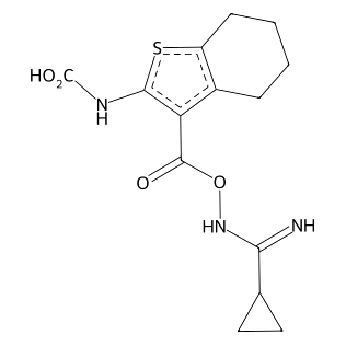 N=C(NOC(=O)c1c(NC(=O)O)sc2c1CCCC2)C1CC1